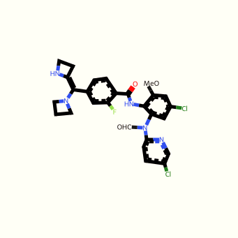 COc1cc(Cl)cc(N(C=O)c2ccc(Cl)cn2)c1NC(=O)c1ccc(C(=C2CCN2)N2CCC2)cc1F